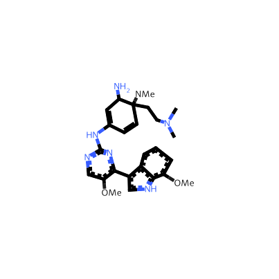 CNC1(CCN(C)C)C=CC(Nc2ncc(OC)c(-c3c[nH]c4c(OC)cccc34)n2)=CC1N